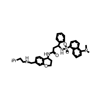 CC(C)CCNCc1ccc2c(c1)OCCC2NC(=O)CC(NS(=O)(=O)c1cccc2c(N(C)C)cccc12)c1ccccc1